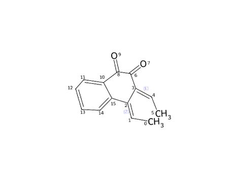 C/C=C1\C(=C/C)C(=O)C(=O)c2ccccc21